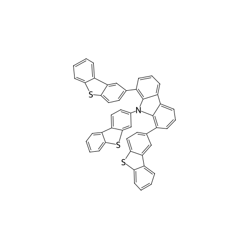 c1ccc2c(c1)sc1cc(-n3c4c(-c5ccc6sc7ccccc7c6c5)cccc4c4cccc(-c5ccc6sc7ccccc7c6c5)c43)ccc12